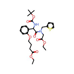 CCOC(=O)CCCOc1ccccc1C(NC(=O)OC(C)(C)C)C(=O)N(CC(=O)OCC)Cc1cccs1